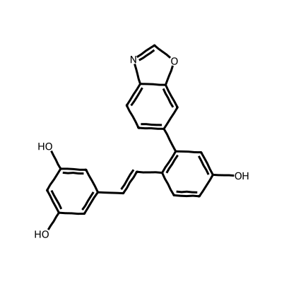 Oc1cc(O)cc(/C=C/c2ccc(O)cc2-c2ccc3ncoc3c2)c1